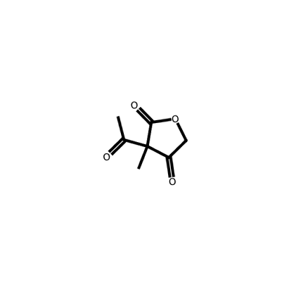 CC(=O)C1(C)C(=O)COC1=O